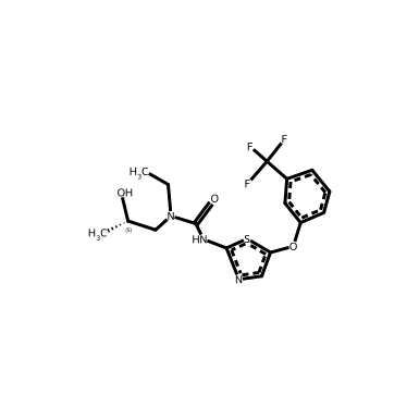 CCN(C[C@H](C)O)C(=O)Nc1ncc(Oc2cccc(C(F)(F)F)c2)s1